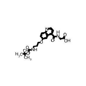 CC(C)(C)OC(=O)NCCCOc1ccc2nccc(C(=O)NCC(=O)O)c2c1